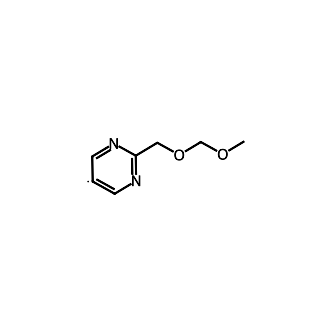 COCOCc1nc[c]cn1